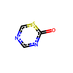 O=c1ncncs1